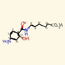 Nc1ccc(C(=O)NCCCCCC(=O)O)c(O)c1